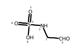 O=CCNS(=O)(=O)O